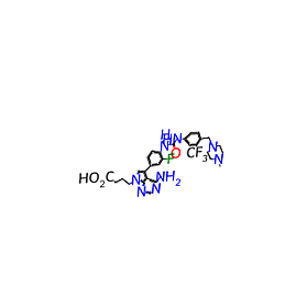 CN1CCN(Cc2ccc(NC(=O)Nc3ccc(-c4cn(CCCC(=O)O)c5ncnc(N)c45)cc3F)cc2C(F)(F)F)CC1